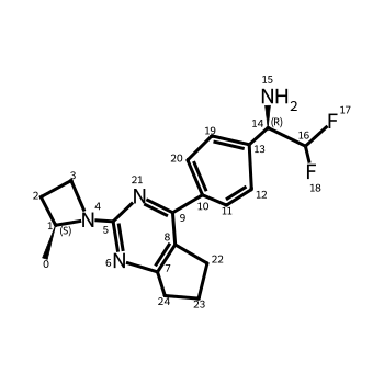 C[C@H]1CCN1c1nc2c(c(-c3ccc([C@@H](N)C(F)F)cc3)n1)CCC2